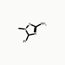 CC(C)C1N=C(N)ON1C